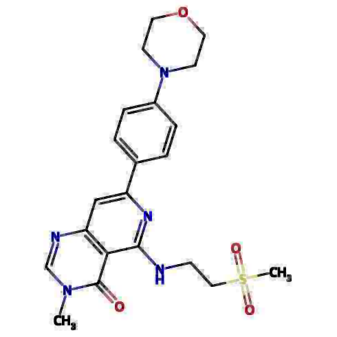 Cn1cnc2cc(-c3ccc(N4CCOCC4)cc3)nc(NCCS(C)(=O)=O)c2c1=O